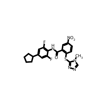 Cn1cnnc1Sc1ccc([N+](=O)[O-])cc1C(=O)Nc1c(F)cc(C2CCCC2)cc1F